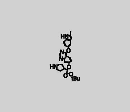 Cc1cc2cc(Oc3ncnc4cc(OC(C(=O)OC(C)(C)C)C5CCNCC5)ccc34)ccc2[nH]1